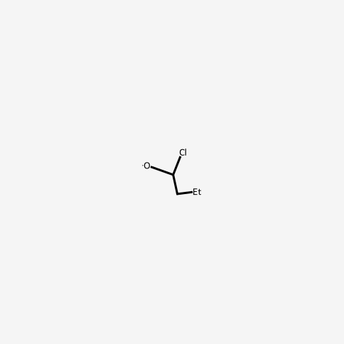 CCCC([O])Cl